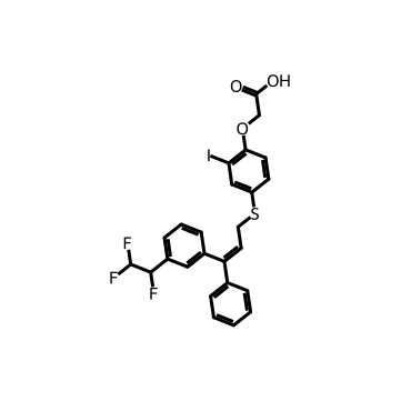 O=C(O)COc1ccc(SCC=C(c2ccccc2)c2cccc(C(F)C(F)F)c2)cc1I